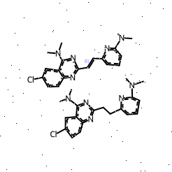 CN(C)c1cccc(/C=C/c2nc(N(C)C)c3cc(Cl)ccc3n2)n1.CN(C)c1cccc(CCc2nc(N(C)C)c3cc(Cl)ccc3n2)n1